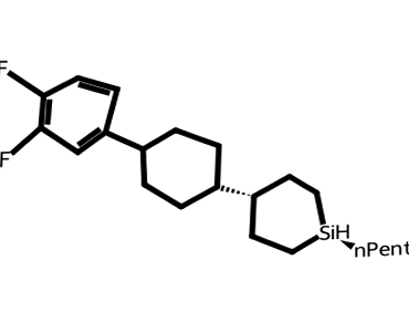 CCCCC[Si@H]1CC[C@H](C2CCC(c3ccc(F)c(F)c3)CC2)CC1